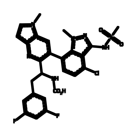 Cn1ccc2nc(C(Cc3cc(F)cc(F)c3)NC(=O)O)c(-c3ccc(Cl)c4c(NS(C)(=O)=O)nn(C)c34)cc21